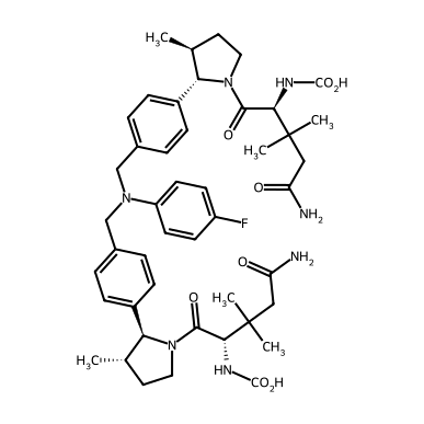 C[C@H]1CCN(C(=O)[C@@H](NC(=O)O)C(C)(C)CC(N)=O)[C@@H]1c1ccc(CN(Cc2ccc([C@@H]3[C@@H](C)CCN3C(=O)[C@@H](NC(=O)O)C(C)(C)CC(N)=O)cc2)c2ccc(F)cc2)cc1